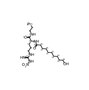 CC(C)C[CH]NC(=O)[C@H](CCCNC(=N)N[N+](=O)[O-])NC(=O)CCCCCCCCCO